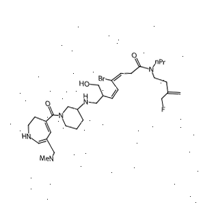 C=C(CF)CCN(CCC)C(=O)C/C=C(Br)\C=C/C(CO)CNC1CCCN(C(=O)C2=CC(CNC)=CNCC2)C1